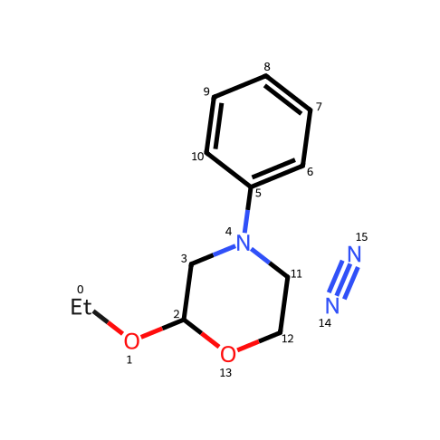 CCOC1CN(c2ccccc2)CCO1.N#N